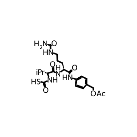 CC(=O)OCc1ccc(NC(=O)[C@H](CCCNC(N)=O)NC(=O)[C@@H](NC(=O)S)C(C)C)cc1